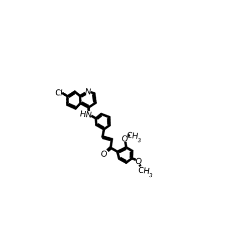 COc1ccc(C(=O)/C=C/c2cccc(Nc3ccnc4cc(Cl)ccc34)c2)c(OC)c1